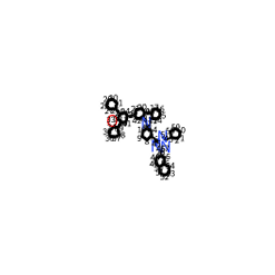 c1ccc(-c2nc(-c3cccc(-n4c5ccccc5c5ccc(-c6cc(-c7ccccc7)c7oc8ccccc8c7c6)cc54)c3)nc(-c3ccc4ccccc4c3)n2)cc1